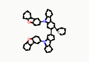 c1ccc(-c2cc3c4ccccc4n(-c4ccc5oc6ccccc6c5c4)c3cc2-c2ccc3c4ccccc4n(-c4ccc5oc6ccccc6c5c4)c3c2)cc1